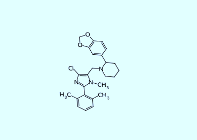 Cc1cccc(C)c1-c1nc(Cl)c(CN2CCCCC2c2ccc3c(c2)OCO3)n1C